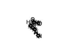 CN(Cc1cccnc1)c1ccc2c(c1)Cc1cccc(-c3cc(N4CCOCC4)cc(=O)[nH]3)c1O2